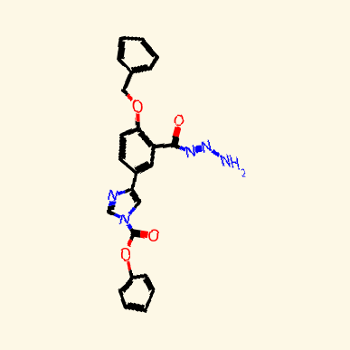 NN=NC(=O)c1cc(-c2cn(C(=O)Oc3ccccc3)cn2)ccc1OCc1ccccc1